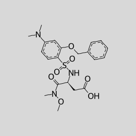 CON(C)C(=O)[C@H](CC(=O)O)NS(=O)(=O)c1ccc(N(C)C)cc1OCc1ccccc1